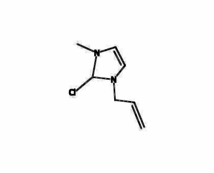 C=CCN1C=CN(C)C1Cl